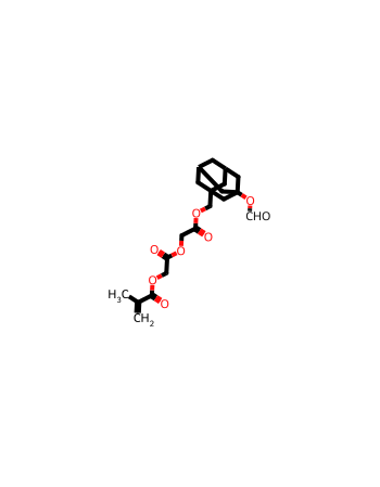 C=C(C)C(=O)OCC(=O)OCC(=O)OCC12CC3CC(C1)CC(OC=O)(C3)C2